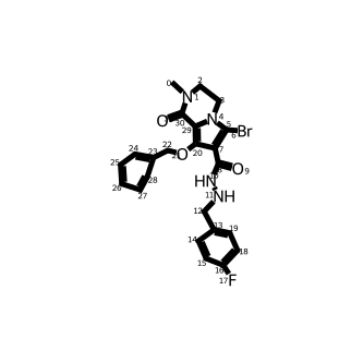 CN1CCn2c(Br)c(C(=O)NNCc3ccc(F)cc3)c(OCc3ccccc3)c2C1=O